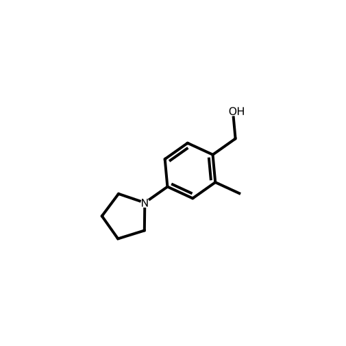 Cc1cc(N2CCCC2)ccc1CO